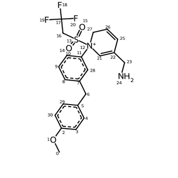 COc1ccc(Cc2cccc([N+]3(S(=O)(=O)CC(F)(F)F)C=C(CN)C=CC3)c2)cc1